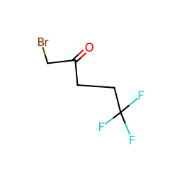 O=C(CBr)CCC(F)(F)F